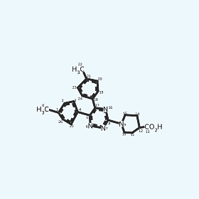 Cc1ccc(-c2nnc(N3CCC(C(=O)O)CC3)nc2-c2ccc(C)cc2)cc1